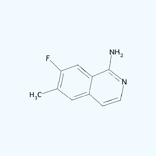 Cc1cc2ccnc(N)c2cc1F